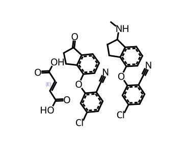 CNC1CCc2c(Oc3cc(Cl)ccc3C#N)cccc21.N#Cc1ccc(Cl)cc1Oc1cccc2c1CCC2=O.O=C(O)/C=C/C(=O)O